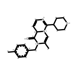 CC1=CN2C(C3CCOCC3)=NC=CC2C(=O)N1Cc1ccc(C)cc1